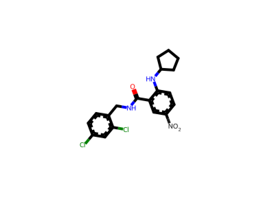 O=C(NCc1ccc(Cl)cc1Cl)c1cc([N+](=O)[O-])ccc1NC1CCCC1